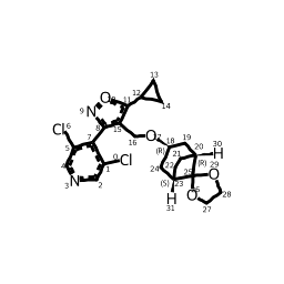 Clc1cncc(Cl)c1-c1noc(C2CC2)c1CO[C@H]1C[C@H]2CC[C@@H](C1)C21OCCO1